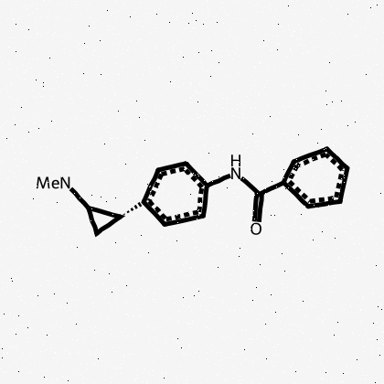 CNC1C[C@H]1c1ccc(NC(=O)c2ccccc2)cc1